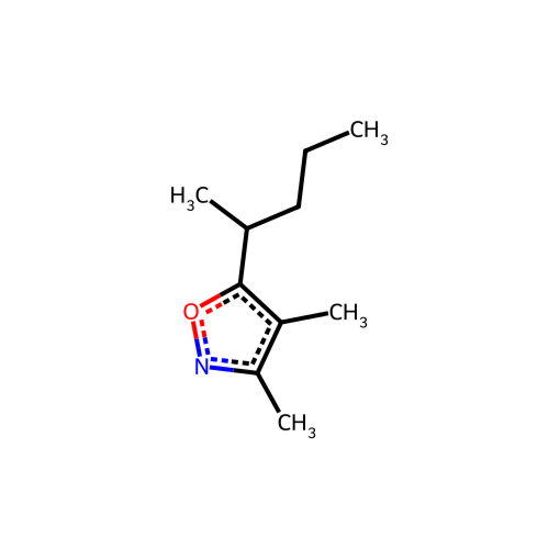 CCCC(C)c1onc(C)c1C